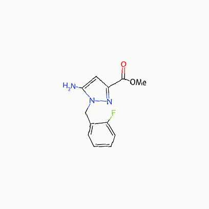 COC(=O)c1cc(N)n(Cc2ccccc2F)n1